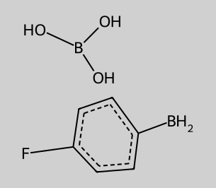 Bc1ccc(F)cc1.OB(O)O